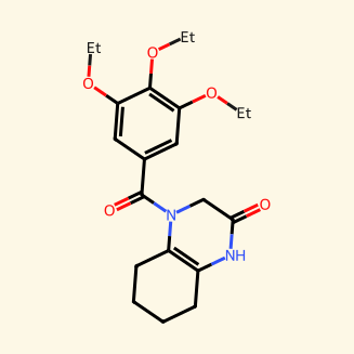 CCOc1cc(C(=O)N2CC(=O)NC3=C2CCCC3)cc(OCC)c1OCC